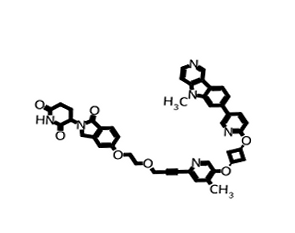 Cc1cc(C#CCOCCOc2ccc3c(c2)CN(C2CCC(=O)NC2=O)C3=O)ncc1O[C@H]1C[C@H](Oc2ccc(-c3ccc4c5cnccc5n(C)c4c3)cn2)C1